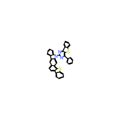 c1ccc(-c2nc(-n3c4ccccc4c4cc5ccc6c7ccccc7sc6c5cc43)nc3c2sc2ccccc23)cc1